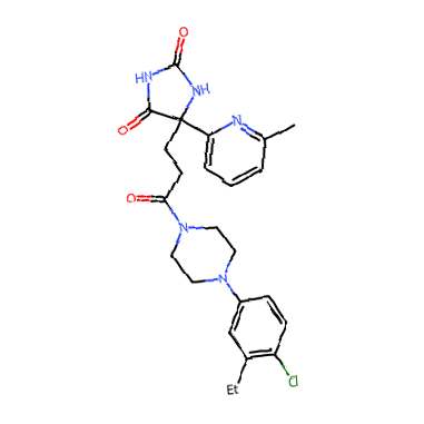 CCc1cc(N2CCN(C(=O)CCC3(c4cccc(C)n4)NC(=O)NC3=O)CC2)ccc1Cl